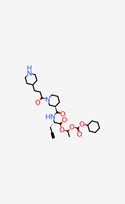 C#CC[C@H](NC(=O)[C@@H]1CCCN(C(=O)CCC2CCNCC2)C1)C(=O)OC(C)OC(=O)OC1CCCCC1